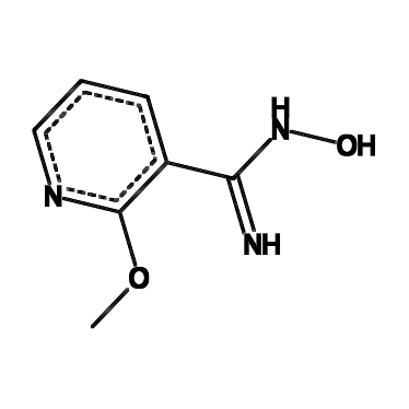 COc1ncccc1C(=N)NO